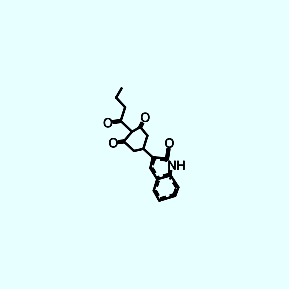 CCCC(=O)C1C(=O)CC(c2cc3ccccc3[nH]c2=O)CC1=O